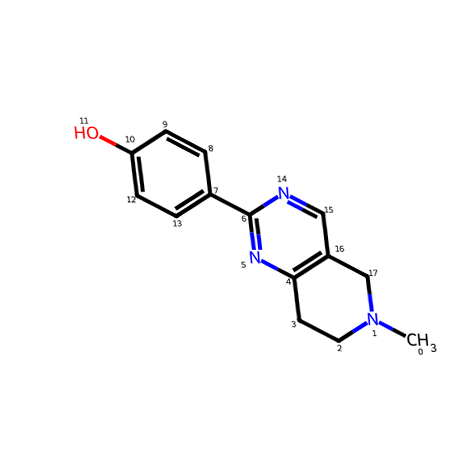 CN1CCc2nc(-c3ccc(O)cc3)ncc2C1